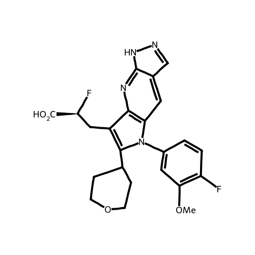 COc1cc(-n2c(C3CCOCC3)c(C[C@H](F)C(=O)O)c3nc4[nH]ncc4cc32)ccc1F